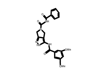 COc1cc(OC)cc(C(=O)Nc2[nH]nc3c2CN(C(=O)NC(=O)c2ccccc2)C3)c1